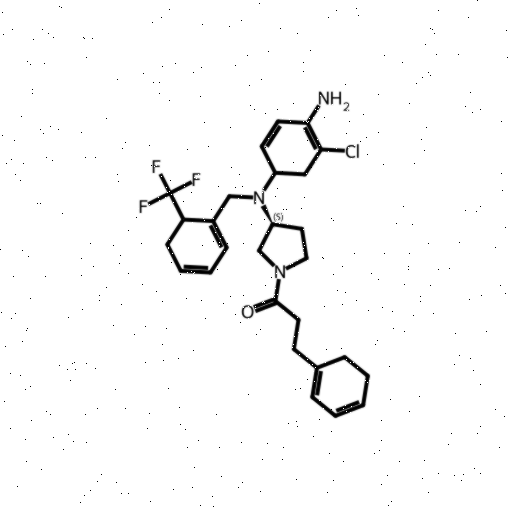 NC1=C(Cl)CC(N(CC2=CC=CCC2C(F)(F)F)[C@H]2CCN(C(=O)CCC3=CC=CCC3)C2)C=C1